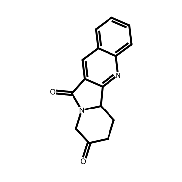 O=C1CCC2c3nc4ccccc4cc3C(=O)N2C1